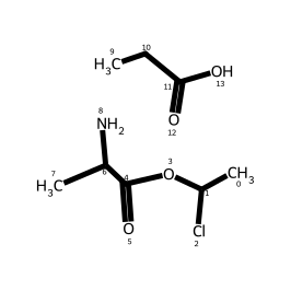 CC(Cl)OC(=O)C(C)N.CCC(=O)O